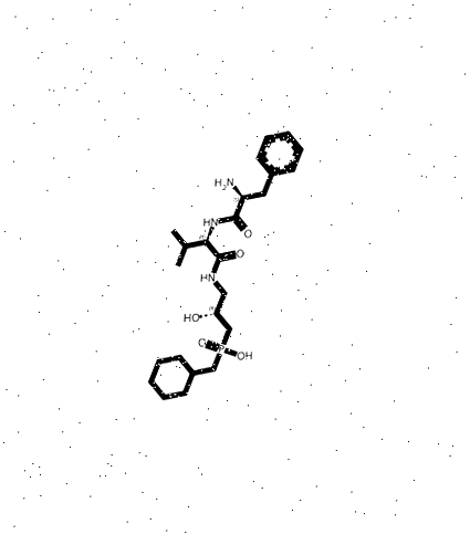 CC(C)[C@@H](NC(=O)[C@@H](N)Cc1ccccc1)C(=O)NC[C@@H](O)CP(=O)(O)CC1CCCCC1